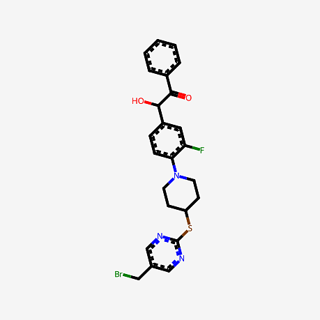 O=C(c1ccccc1)C(O)c1ccc(N2CCC(Sc3ncc(CBr)cn3)CC2)c(F)c1